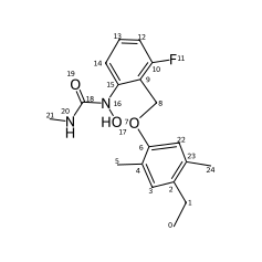 CCc1cc(C)c(OCc2c(F)cccc2N(O)C(=O)NC)cc1C